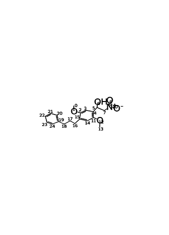 COc1cc(C(O)C[N+](=O)[O-])c(OC)cc1CCCc1ccccc1